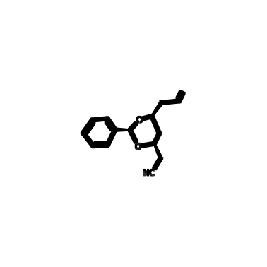 C=CC[C@H]1C[C@@H](CC#N)O[C@@H](c2ccccc2)O1